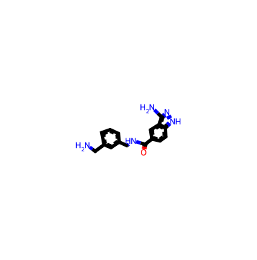 NCc1cccc(CNC(=O)c2ccc3[nH]nc(N)c3c2)c1